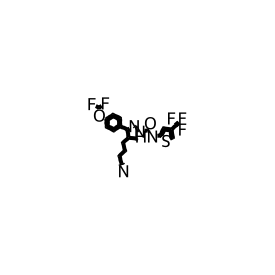 N#CCCCC1CN(C(=O)Nc2cc(C(F)(F)F)cs2)N=C1c1ccc(OC(F)F)cc1